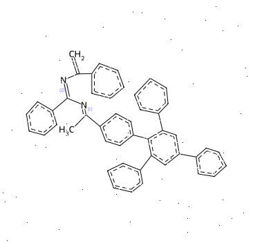 C=C(/N=C(\N=C(/C)c1ccc(-c2c(-c3ccccc3)cc(-c3ccccc3)cc2-c2ccccc2)cc1)c1ccccc1)c1ccccc1